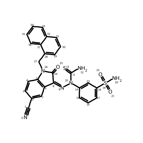 N#Cc1ccc2c(c1)/C(=N/N(C(N)=S)c1cccc(S(N)(=O)=O)c1)C(=O)N2Cc1cccc2ccccc12